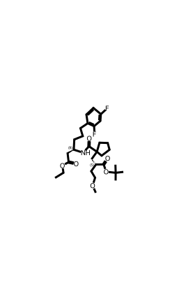 CCOC(=O)C[C@@H](CCCc1ccc(F)cc1F)NC(=O)C1(C[C@@H](CCOC)C(=O)OC(C)(C)C)CCCC1